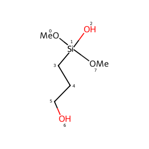 CO[Si](O)(CCCO)OC